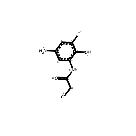 Nc1cc(F)c(O)c(NC(=O)CCl)c1